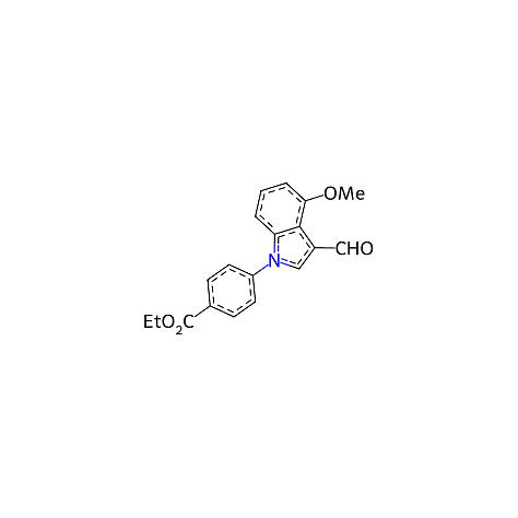 CCOC(=O)c1ccc(-n2cc(C=O)c3c(OC)cccc32)cc1